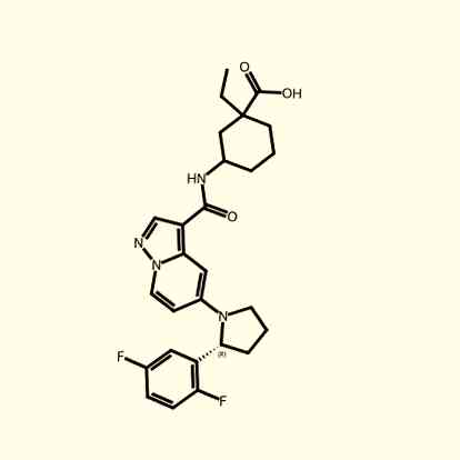 CCC1(C(=O)O)CCCC(NC(=O)c2cnn3ccc(N4CCC[C@@H]4c4cc(F)ccc4F)cc23)C1